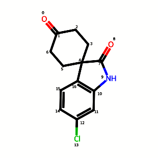 O=C1CCC2(CC1)C(=O)Nc1cc(Cl)ccc12